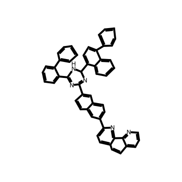 c1ccc(-c2ccccc2C2=NC(c3ccc4cc(-c5ccc6ccc7cccnc7c6n5)ccc4c3)=NC(c3ccc(-c4ccccc4)c4ccccc34)N2)cc1